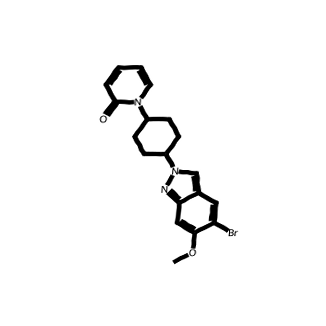 COc1cc2nn(C3CCC(n4ccccc4=O)CC3)cc2cc1Br